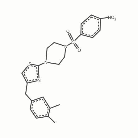 Cc1ccc(Cc2csc(N3CCN(S(=O)(=O)c4ccc([N+](=O)[O-])cc4)CC3)n2)cc1C